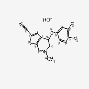 CN1Cc2sc(C#N)cc2C(Oc2ccc(Cl)c(Cl)c2)C1.Cl